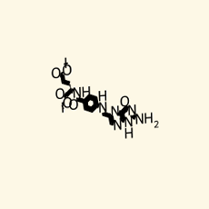 Nc1nc(=O)c2nc(CNc3ccc(C(=O)N[C@@H](CCC(=O)OI)C(=O)OI)cc3)cnc2[nH]1